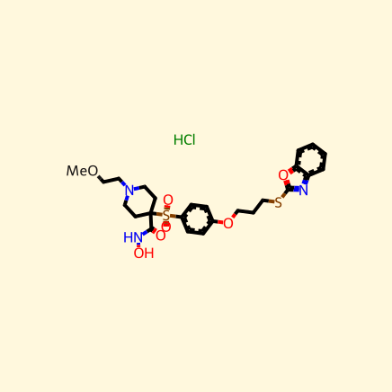 COCCN1CCC(C(=O)NO)(S(=O)(=O)c2ccc(OCCCSc3nc4ccccc4o3)cc2)CC1.Cl